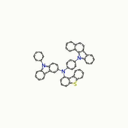 c1ccc(-n2c3ccccc3c3cc(N(c4ccc(-n5c6ccccc6c6ccc7ccccc7c65)cc4)c4cccc5sc6ccccc6c45)ccc32)cc1